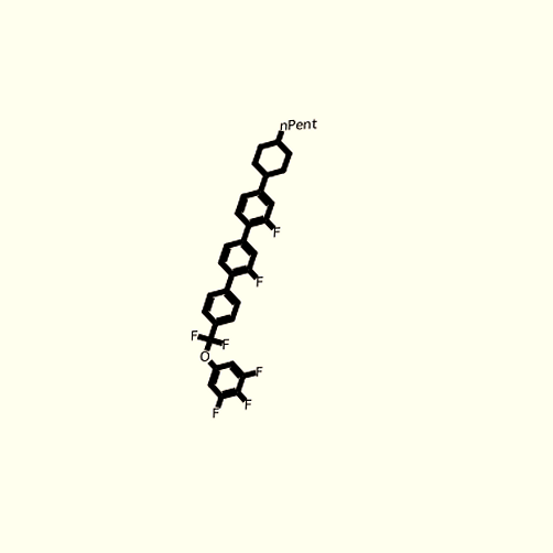 CCCCCC1CCC(c2ccc(-c3ccc(-c4ccc(C(F)(F)Oc5cc(F)c(F)c(F)c5)cc4)c(F)c3)c(F)c2)CC1